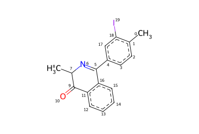 Cc1ccc(C2=NC(C)C(=O)c3ccccc32)cc1I